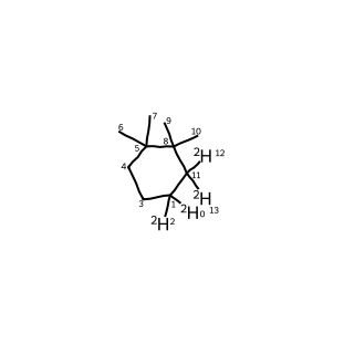 [2H]C1([2H])CCC(C)(C)C(C)(C)C1([2H])[2H]